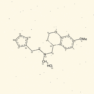 COc1ccc2c(c1)OCCC2CN(C)CCc1cccs1.Cl